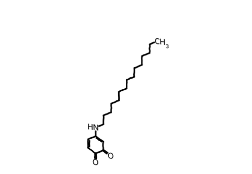 CCCCCCCCCCCCCCCNC1=CC(=O)C(=O)C=C1